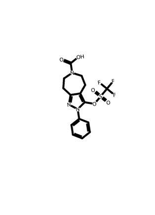 O=C(O)N1CCc2nn(-c3ccccc3)c(OS(=O)(=O)C(F)(F)F)c2CC1